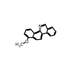 COc1cccc2c1ccc1c3ccccc3cnc21